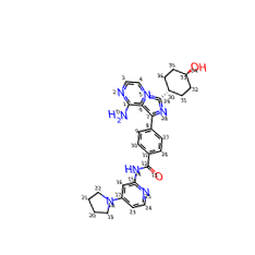 Nc1nccn2c1c(-c1ccc(C(=O)Nc3cc(N4CCCC4)ccn3)cc1)nc2[C@H]1CC[C@H](O)CC1